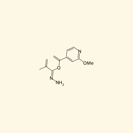 C=C(C)/C(=N/N)OC(=C)c1ccnc(OC)c1